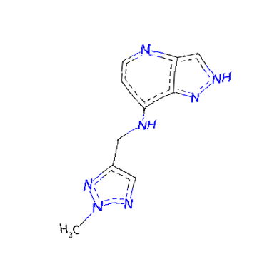 Cn1ncc(CNc2ccnc3c[nH]nc23)n1